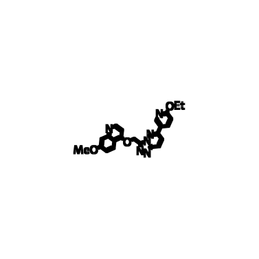 CCOc1ccc(-c2ccc3nnc(COc4ccnc5cc(OC)ccc45)n3n2)cn1